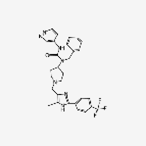 Cc1[nH]c(-c2ccc(C(F)(F)F)cc2)nc1CN1CCC(N(Cc2ccccc2)C(=O)Nc2ccnnc2)CC1